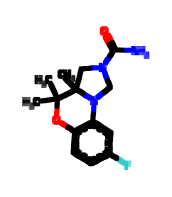 CC1(C)Oc2ccc(F)cc2N2CN(C(N)=O)CC21C